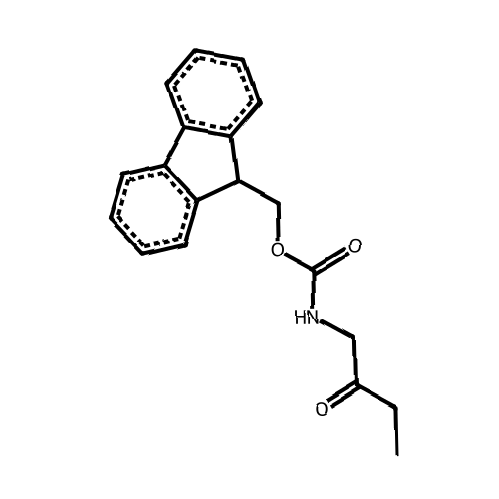 CCC(=O)CNC(=O)OCC1c2ccccc2-c2ccccc21